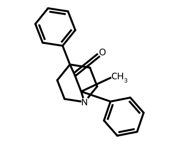 CC1(c2ccccc2)C(=O)C2(c3ccccc3)CCN1CC2